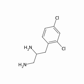 NCC(N)Cc1ccc(Cl)cc1Cl